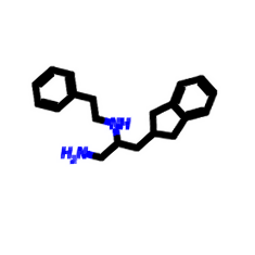 NCC(CC1Cc2ccccc2C1)NCCc1ccccc1